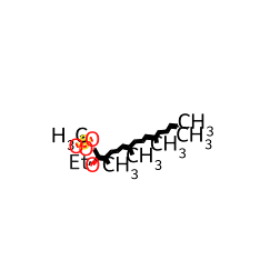 CCO/C(COS(C)(=O)=O)=C(\C)CC/C=C(\C)CC/C=C(\C)CCC=C(C)C